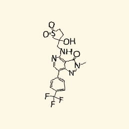 Cn1cnc2c(-c3ccc(C(F)(F)F)cc3)cnc(NCC3(O)CCS(=O)(=O)C3)c2c1=O